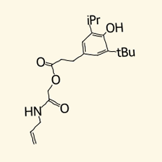 C=CCNC(=O)COC(=O)CCc1cc(C(C)C)c(O)c(C(C)(C)C)c1